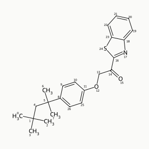 CC(C)(C)CC(C)(C)c1ccc(OCC(=O)c2nc3ccccc3s2)cc1